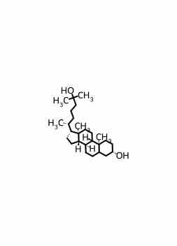 C[C@H](CCCC(C)(C)O)[C@H]1CC[C@H]2[C@@H]3CCC4C[C@@H](O)CC[C@]4(C)[C@H]3CC[C@]12C